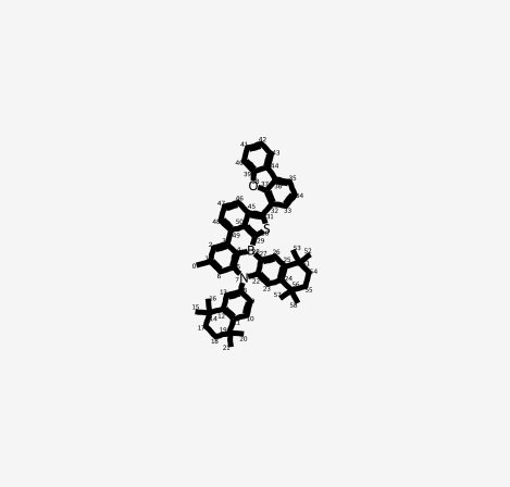 Cc1cc2c3c(c1)N(c1ccc4c(c1)C(C)(C)CCC4(C)C)c1cc4c(cc1B3c1sc(-c3cccc5c3oc3ccccc35)c3cccc-2c13)C(C)(C)CCC4(C)C